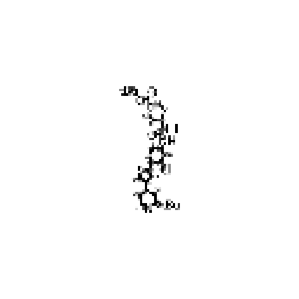 CC(C)(C)OC(=O)N1CCC(NC(=O)Nc2ccc(-c3cc(-c4ccnc(C(C)(C)C)c4)cs3)c(Cl)c2)CC1